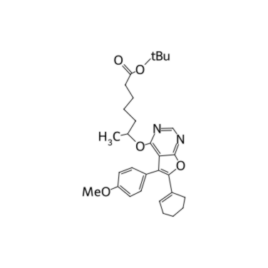 COc1ccc(-c2c(C3=CCCCC3)oc3ncnc(OC(C)CCCCC(=O)OC(C)(C)C)c23)cc1